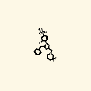 NS(=O)(=O)c1ccc(-n2nc(CN3CCCC(F)(F)C3)nc2Cc2ccccc2)c(F)c1